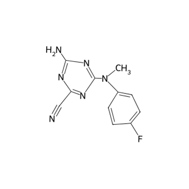 CN(c1ccc(F)cc1)c1nc(N)nc(C#N)n1